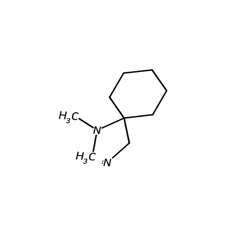 CN(C)C1(C[N])CCCCC1